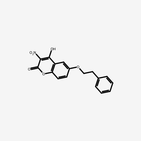 O=c1oc2ccc(OCCc3ccccc3)cc2c(O)c1[N+](=O)[O-]